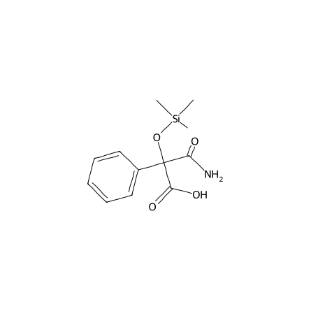 C[Si](C)(C)OC(C(N)=O)(C(=O)O)c1ccccc1